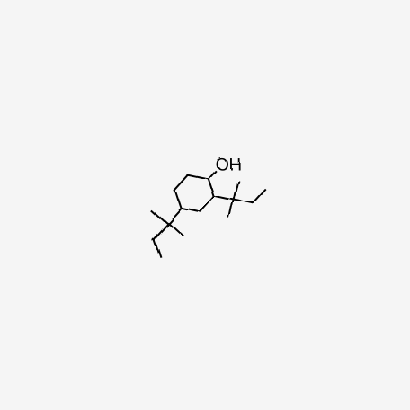 CCC(C)(C)C1CCC(O)C(C(C)(C)CC)C1